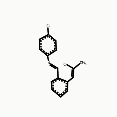 C/C(Cl)=C/c1ccccc1/C=N/c1ccc(Cl)cc1